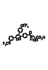 O=C(/C=C(\C(=O)c1ccc(C(=O)NC[C@@H](O)C(=O)O)cc1)c1ccc(OC(F)(F)F)cc1)c1cccc(SC(F)(F)F)c1